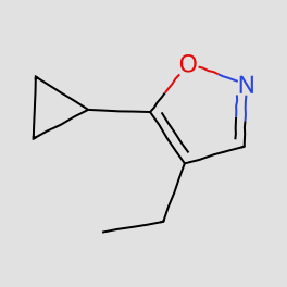 CCc1cnoc1C1CC1